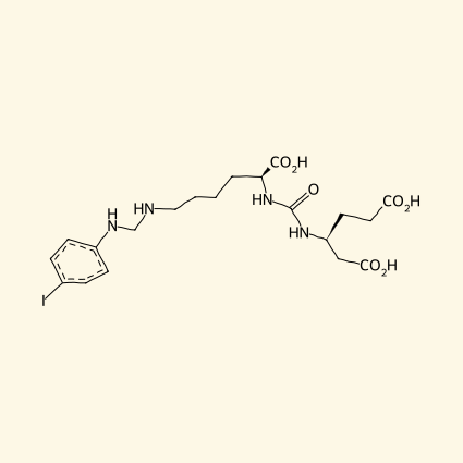 O=C(O)CC[C@@H](CC(=O)O)NC(=O)N[C@@H](CCCCNCNc1ccc(I)cc1)C(=O)O